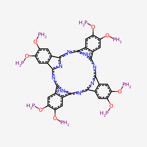 POc1cc2c(cc1OP)-c1nc-2nc2[nH]c(nc3nc(nc4[nH]c(n1)c1cc(OP)c(OP)cc41)-c1cc(OP)c(OP)cc1-3)c1cc(OP)c(OP)cc21